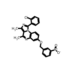 Cc1nc(-c2ccccc2Cl)n2c1c(C)nc1cc(OCc3cccc([N+](=O)[O-])c3)ccc12